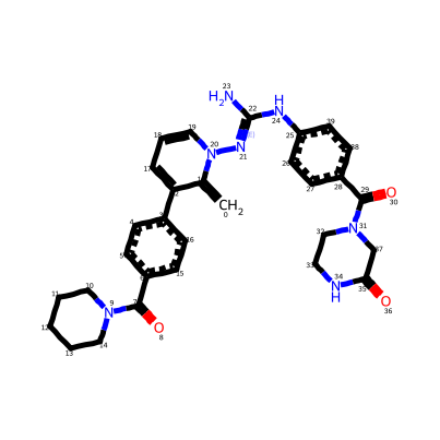 C=C1C(c2ccc(C(=O)N3CCCCC3)cc2)=CC=CN1/N=C(\N)Nc1ccc(C(=O)N2CCNC(=O)C2)cc1